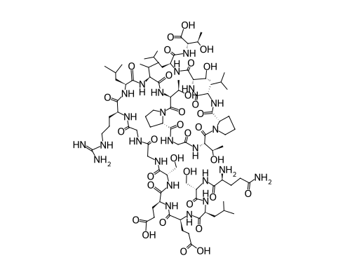 CC(C)C[C@H](NC(=O)[C@H](CO)NC(=O)[C@@H](N)CCC(N)=O)C(=O)N[C@@H](CCC(=O)O)C(=O)N[C@@H](CCC(=O)O)C(=O)N[C@@H](CO)C(=O)NCC(=O)NCC(=O)N[C@@H](CCCNC(=N)N)C(=O)N[C@@H](CC(C)C)C(=O)N[C@H](C(=O)N[C@H](C(=O)N1CCC[C@H]1C(=O)NCC(=O)N[C@H](C(=O)N1CCC[C@H]1C(=O)N[C@@H](CC(C)C)C(=O)N[C@H](C(=O)N[C@@H](CC(C)C)C(=O)N[C@H](C(=O)O)[C@@H](C)O)[C@@H](C)O)[C@@H](C)O)[C@@H](C)O)C(C)C